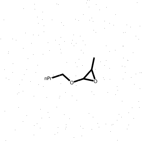 CCCCOC1OC1C